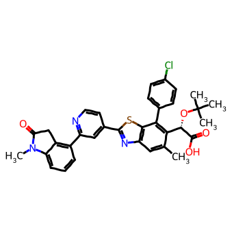 Cc1cc2nc(-c3ccnc(-c4cccc5c4CC(=O)N5C)c3)sc2c(-c2ccc(Cl)cc2)c1[C@H](OC(C)(C)C)C(=O)O